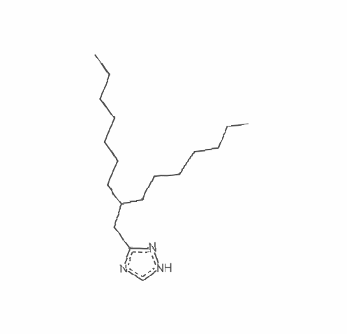 CCCCCCCC(CCCCCCC)Cc1nc[nH]n1